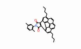 CCCCc1cc2c3c(=O)n(-c4cc(C)ccc4C)c(=O)c3c3cc(CCCC)c4ccc5ccc1c1c5c4c3c21